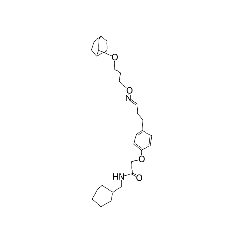 O=C(COc1ccc(CCC=NOCCCOC2CC3CCC2CC3)cc1)NCC1CCCCC1